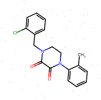 Cc1ccccc1N1CCN(Cc2ccccc2Cl)C(=O)C1=O